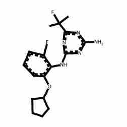 CC(C)(F)c1nc(N)nc(Nc2c(F)cccc2OC2CCCC2)n1